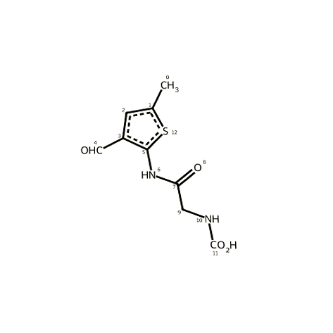 Cc1cc(C=O)c(NC(=O)CNC(=O)O)s1